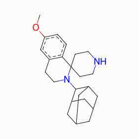 COc1ccc2c(c1)CCN(C1C3CC4CC(C3)CC1C4)C21CCNCC1